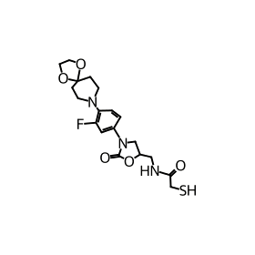 O=C(CS)NCC1CN(c2ccc(N3CCC4(CC3)OCCO4)c(F)c2)C(=O)O1